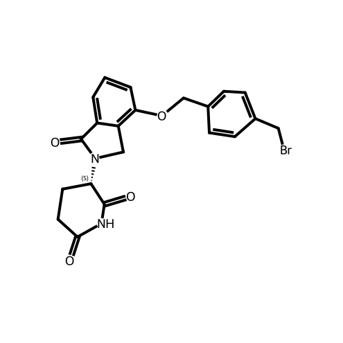 O=C1CC[C@H](N2Cc3c(OCc4ccc(CBr)cc4)cccc3C2=O)C(=O)N1